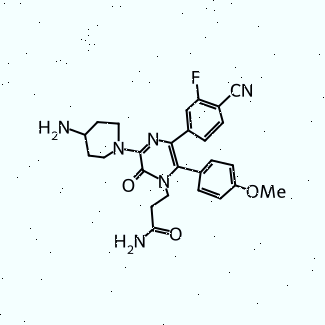 COc1ccc(-c2c(-c3ccc(C#N)c(F)c3)nc(N3CCC(N)CC3)c(=O)n2CCC(N)=O)cc1